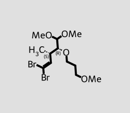 COCCCO[C@@H](C(OC)OC)[C@@H](C)C=C(Br)Br